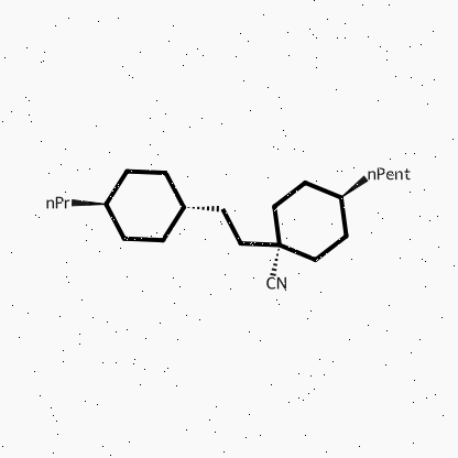 CCCCC[C@H]1CC[C@@](C#N)(CC[C@H]2CC[C@H](CCC)CC2)CC1